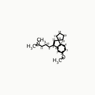 COc1ccc2c(c1)C(CCCN(C)C)=CC21CCCC1